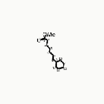 COC(=O)CCCCC=CC1CCCCC1